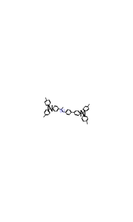 C/C(=C\c1ccc(-c2ccc(N(c3ccc(C)cc3)c3ccc(C)cc3)cc2)cc1)c1ccc(N(c2ccc(C)cc2)c2ccc(C)cc2)cc1